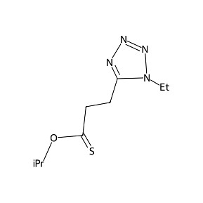 CCn1nnnc1CCC(=S)OC(C)C